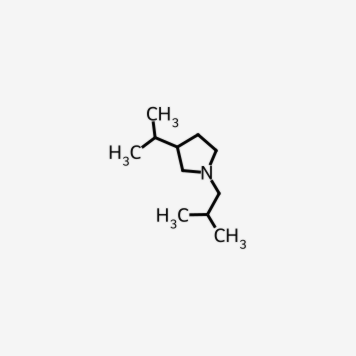 CC(C)CN1CCC(C(C)C)C1